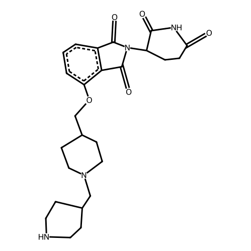 O=C1CCC(N2C(=O)c3cccc(OCC4CCN(CC5CCNCC5)CC4)c3C2=O)C(=O)N1